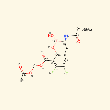 CSCC(=O)N[C@H]1Cc2cc(F)c(F)c(C(=O)OCOC(=O)C(C)C)c2OB1O